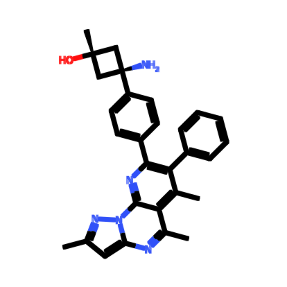 Cc1cc2nc(C)c3c(C)c(-c4ccccc4)c(-c4ccc([C@]5(N)C[C@](C)(O)C5)cc4)nc3n2n1